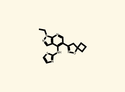 CCn1ncc2c(Nc3nccs3)c(C3=NOC4(CCC4)C3)cnc21